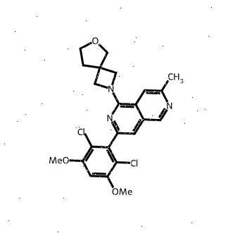 COc1cc(OC)c(Cl)c(-c2cc3cnc(C)cc3c(N3CC4(CCOC4)C3)n2)c1Cl